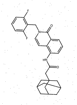 O=C(CC12CC3CC(CC(C3)C1)C2)Nc1cccc2c(=O)n(Cc3c(F)cccc3F)ccc12